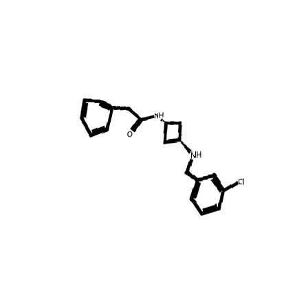 O=C(Cc1ccccc1)N[C@H]1C[C@H](NCc2cccc(Cl)c2)C1